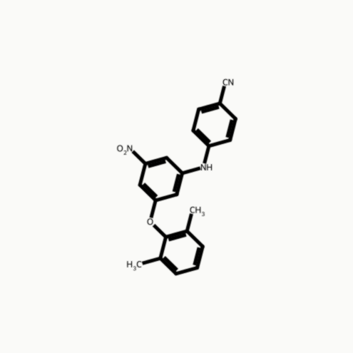 Cc1cccc(C)c1Oc1cc(Nc2ccc(C#N)cc2)cc([N+](=O)[O-])c1